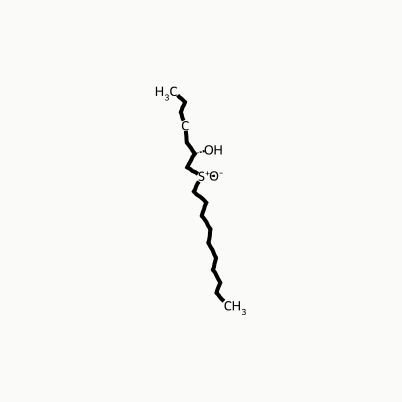 CCCCCCCCCC[S@@+]([O-])C[C@@H](O)CCCCC